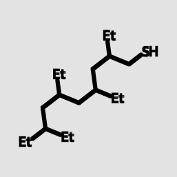 CCC(CC)CC(CC)CC(CC)CC(CC)CS